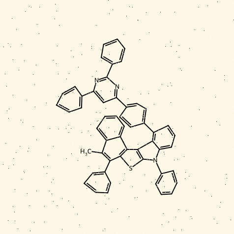 Cc1c(-c2ccccc2)c2sc3c(c4c(-c5ccc(-c6cc(-c7ccccc7)nc(-c7ccccc7)n6)cc5)cccc4n3-c3ccccc3)c2c2ccccc12